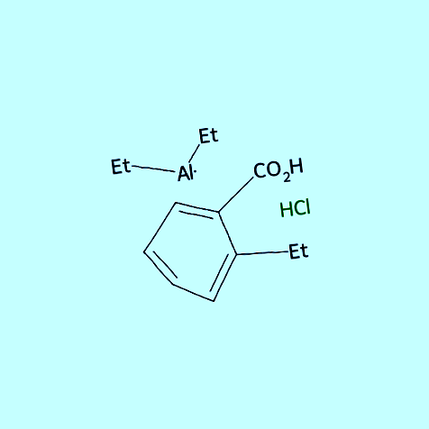 CCc1ccccc1C(=O)O.C[CH2][Al][CH2]C.Cl